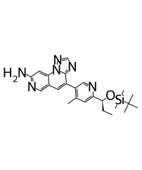 CC[C@H](O[Si](C)(C)C(C)(C)C)c1cc(C)c(-c2cc3cnc(N)cc3n3ncnc23)cn1